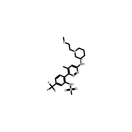 COCCN1CCC[C@@H](Nc2cc(C)c(-c3ccc(C(F)(F)F)cc3NS(C)(=O)=O)nn2)C1